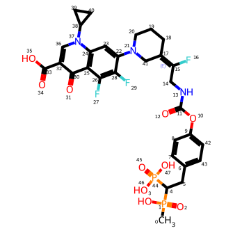 CP(=O)(O)C(Cc1ccc(OC(=O)NC/C(F)=C2/CCCN(c3cc4c(c(F)c3F)c(=O)c(C(=O)O)cn4C3CC3)C2)cc1)P(=O)(O)O